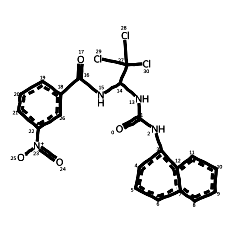 O=C(Nc1cccc2ccccc12)NC(NC(=O)c1cccc([N+](=O)[O-])c1)C(Cl)(Cl)Cl